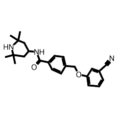 CC1(C)CC(NC(=O)c2ccc(COc3cccc(C#N)c3)cc2)CC(C)(C)N1